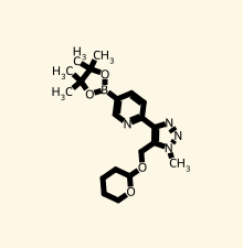 Cn1nnc(-c2ccc(B3OC(C)(C)C(C)(C)O3)cn2)c1COC1CCCCO1